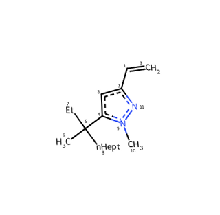 C=Cc1cc(C(C)(CC)CCCCCCC)n(C)n1